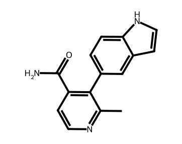 Cc1nccc(C(N)=O)c1-c1ccc2[nH]ccc2c1